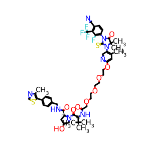 Cc1cc(OCCOCCOCCOCC(=O)N[C@H](C(=O)N2C[C@H](O)C[C@H]2C(=O)NCc2ccc(-c3scnc3C)cc2)C(C)(C)C)ncc1N1C(=S)N(c2ccc(C#N)c(C(F)(F)F)c2F)C(=O)C1(C)C